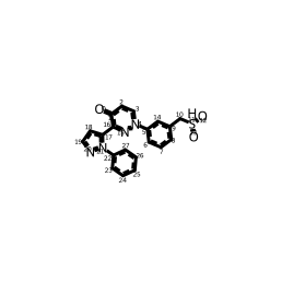 O=c1ccn(-c2cccc(C[SH](=O)=O)c2)nc1-c1ccnn1-c1ccccc1